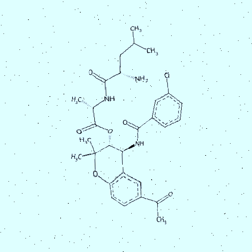 CC(=O)c1ccc2c(c1)[C@H](NC(=O)c1cccc(Cl)c1)[C@@H](OC(=O)[C@H](C)NC(=O)[C@@H](N)CC(C)C)C(C)(C)O2